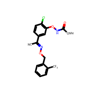 COC(=O)NOc1cc(/C(C#N)=N/OCc2ccccc2C(F)(F)F)ccc1Cl